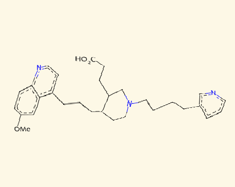 COc1ccc2nccc(CCCC3CCN(CCCCc4cccnc4)CC3CCC(=O)O)c2c1